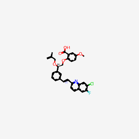 C=C(C)CO[C@@H](COc1ccc(OC)cc1C(=O)O)c1cccc(/C=C/c2ccc3cc(F)c(Cl)cc3n2)c1